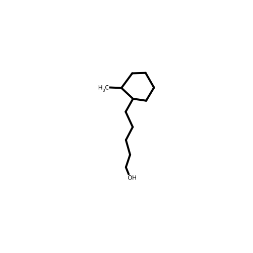 CC1CCCCC1CCCCCO